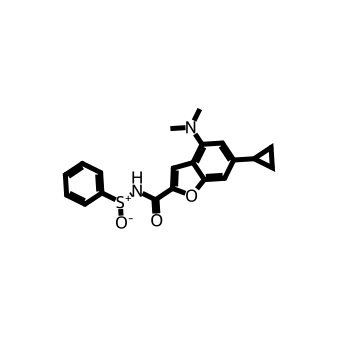 CN(C)c1cc(C2CC2)cc2oc(C(=O)N[S+]([O-])c3ccccc3)cc12